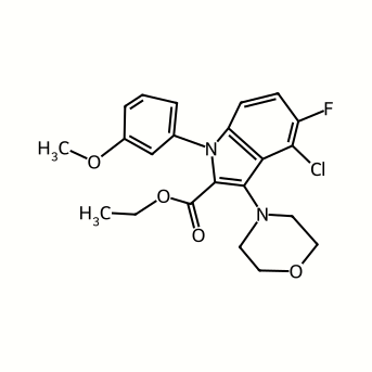 CCOC(=O)c1c(N2CCOCC2)c2c(Cl)c(F)ccc2n1-c1cccc(OC)c1